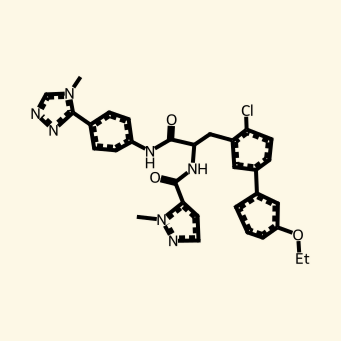 CCOc1cccc(-c2ccc(Cl)c(CC(NC(=O)c3ccnn3C)C(=O)Nc3ccc(-c4nncn4C)cc3)c2)c1